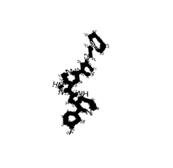 Fc1cccc(-c2nccc3[nH]c(-c4n[nH]c5cnc(-c6cncc(OCCN7CCCC7)c6)cc45)cc23)c1